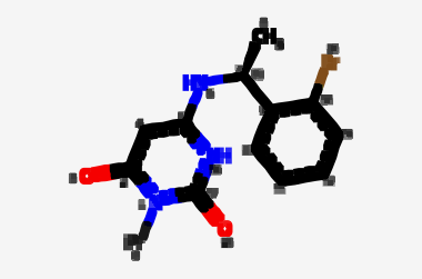 CC(C)n1c(=O)cc(N[C@@H](C)c2ccccc2Br)[nH]c1=O